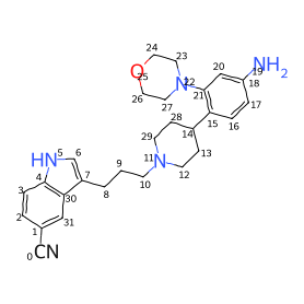 N#Cc1ccc2[nH]cc(CCCN3CCC(c4ccc(N)cc4N4CCOCC4)CC3)c2c1